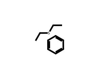 CCSCC.c1ccccc1